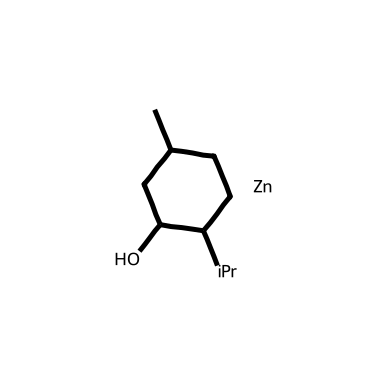 CC1CCC(C(C)C)C(O)C1.[Zn]